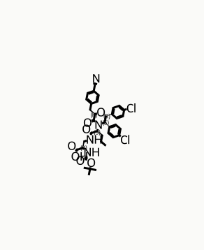 CCC[C@@H](C(=O)NC[C@@H](NC(=O)OC(C)(C)C)C(=O)O)N1C(=O)[C@@H](Cc2ccc(C#N)cc2)O[C@H](c2ccc(Cl)cc2)[C@@H]1c1ccc(Cl)cc1